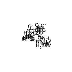 NC(CC(=O)[O-])(CC(=O)[O-])C(CC(=O)[O-])(CC(=O)[O-])NCC(=O)[O-].NCCN.[Fe+3].[Fe+3].[NH2-].[NH2-].[NH2-].[NH4+].[NH4+]